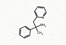 CC(N)(Cc1ccccn1)c1ccccc1